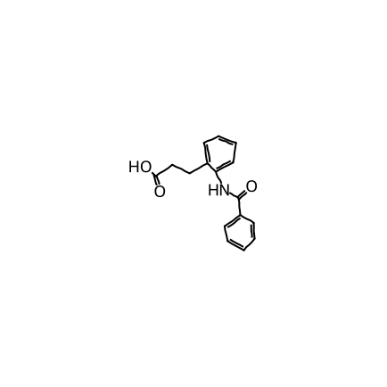 O=C(O)CCc1ccccc1NC(=O)c1ccccc1